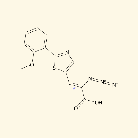 COc1ccccc1-c1ncc(/C=C(\N=[N+]=[N-])C(=O)O)s1